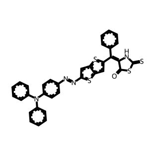 O=C1SC(=S)N/C1=C(\c1ccccc1)c1cc2sc(/N=N/c3ccc(N(c4ccccc4)c4ccccc4)cc3)cc2s1